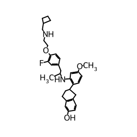 COc1ccc(C2CCc3cc(O)ccc3C2)c(NC(C)Cc2ccc(OCCNCC3CCC3)c(F)c2)c1